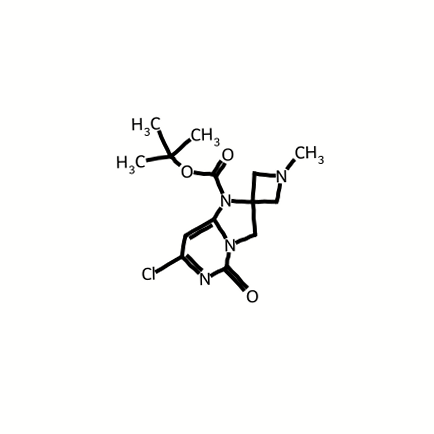 CN1CC2(C1)Cn1c(cc(Cl)nc1=O)N2C(=O)OC(C)(C)C